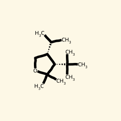 CC(C)[C@H]1COC(C)(C)[C@H]1C(C)(C)C